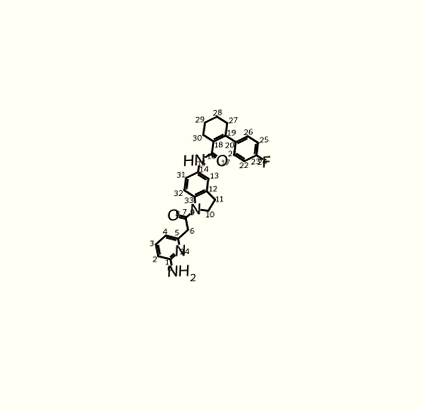 Nc1cccc(CC(=O)N2CCc3cc(NC(=O)C4=C(c5ccc(F)cc5)CCCC4)ccc32)n1